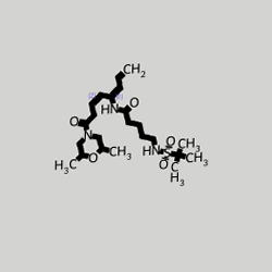 C=C/C=C(\C=C/CC(=O)N1CC(C)OC(C)C1)NC(=O)CCCCNS(=O)(=O)C(C)(C)C